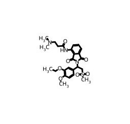 CCOc1cc(C(CS(C)(=O)=O)N2C(=O)c3cccc(NC(=O)CCN(C)C)c3C2=O)ccc1OC